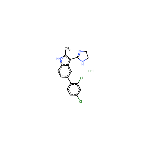 Cc1[nH]c2ccc(-c3ccc(Cl)cc3Cl)cc2c1C1=NCCN1.Cl